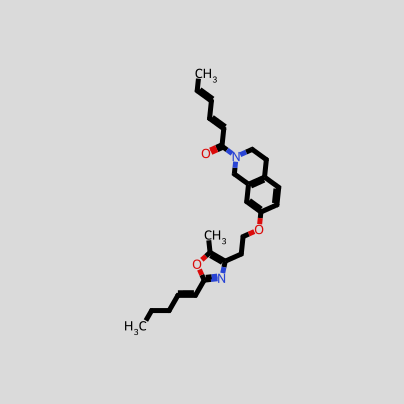 CC=CC=CC(=O)N1CCc2ccc(OCCc3nc(/C=C/CCC)oc3C)cc2C1